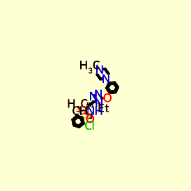 CCn1c(Oc2cccc(N3CCN(C)CC3)c2)nnc1[C@@H](C)NS(=O)(=O)c1c(C)cccc1Cl